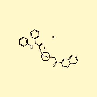 O=C(C[N+]12CCC(CC1)[C@@H](OC(=O)[C@H](Nc1ccccc1)c1ccccc1)C2)c1ccc2ccccc2c1.[Br-]